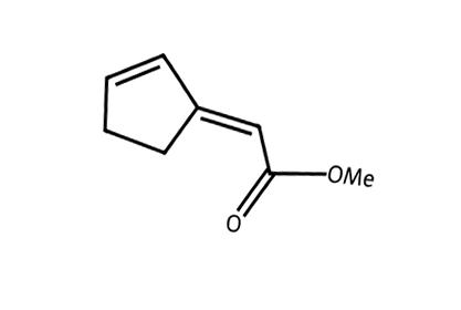 COC(=O)C=C1C=CCC1